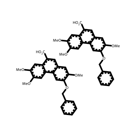 COc1cc2c(C(=O)O)cc3cc(OC)c(OCc4ccccc4)cc3c2cc1OC.COc1cc2c(C(=O)O)cc3cc(OC)c(OCc4ccccc4)cc3c2cc1OC